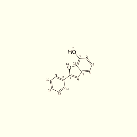 Oc1cccc2cc(-c3ccccc3)oc12